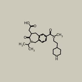 CC(C)N1Cc2ccc(C(=O)N(C)CCC3CCNCC3)cc2CC(CC(=O)O)C1=O